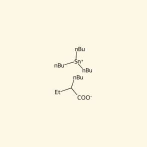 CCCCC(CC)C(=O)[O-].CCC[CH2][Sn+]([CH2]CCC)[CH2]CCC